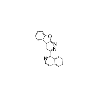 c1ccc2c(-c3cc4c(nn3)oc3ccccc34)nccc2c1